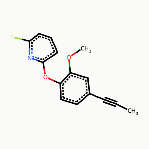 CC#Cc1ccc(Oc2cccc(F)n2)c(OC)c1